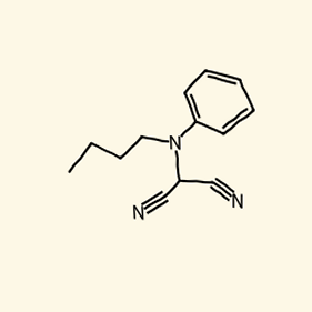 CCCCN(c1ccccc1)C(C#N)C#N